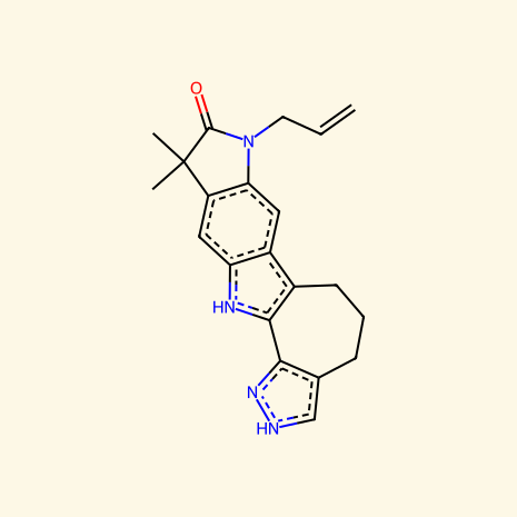 C=CCN1C(=O)C(C)(C)c2cc3[nH]c4c(c3cc21)CCCc1c[nH]nc1-4